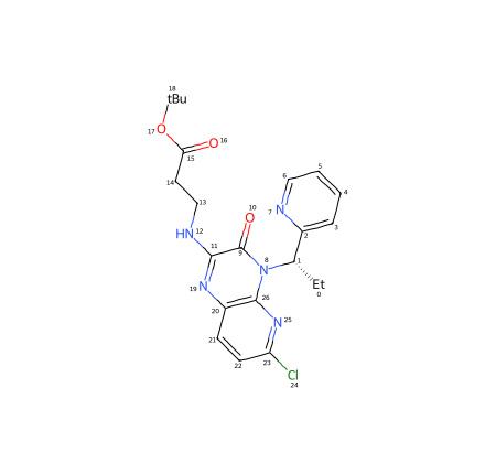 CC[C@@H](c1ccccn1)n1c(=O)c(NCCC(=O)OC(C)(C)C)nc2ccc(Cl)nc21